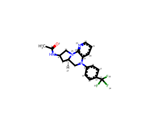 CC(=O)NC1C[C@@H]2CN(c3ccc(C(F)(F)F)cc3)c3cccnc3N2C1